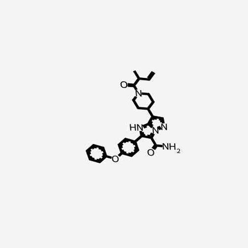 C=CC(C)C(=O)N1CCC(c2cnn3c(C(N)=O)c(-c4ccc(Oc5ccccc5)cc4)[nH]c23)CC1